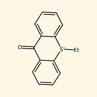 CC[s+]1c2ccccc2c(=O)c2ccccc21